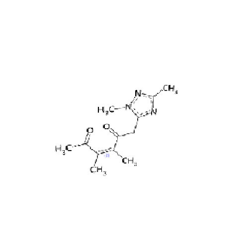 CC(=O)/C(C)=C(/C)C(=O)Cc1nc(C)nn1C